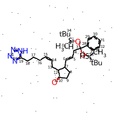 C[SiH](OC(CC=CC1CCC(=O)C1C/C=C\CCCc1nnn[nH]1)(O[SiH](C)C(C)(C)C)c1ccccc1)C(C)(C)C